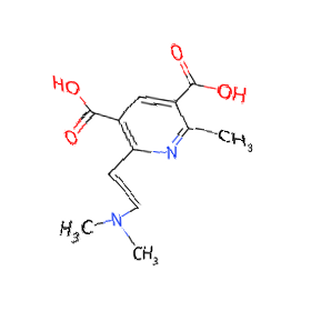 Cc1nc(C=CN(C)C)c(C(=O)O)cc1C(=O)O